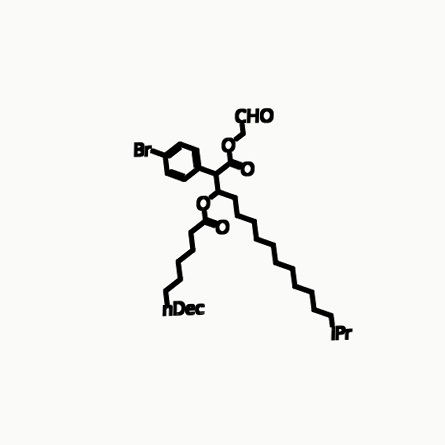 CCCCCCCCCCCCCCCC(=O)OC(CCCCCCCCCCCC(C)C)C(C(=O)OCC=O)c1ccc(Br)cc1